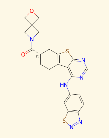 O=C([C@H]1CCc2c(sc3ncnc(Nc4ccc5nnsc5c4)c23)C1)N1CC2(COC2)C1